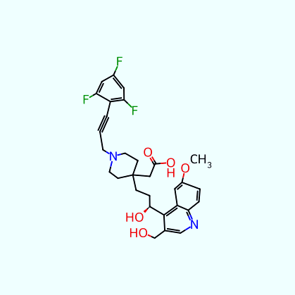 COc1ccc2ncc(CO)c([C@@H](O)CCC3(CC(=O)O)CCN(CC#Cc4c(F)cc(F)cc4F)CC3)c2c1